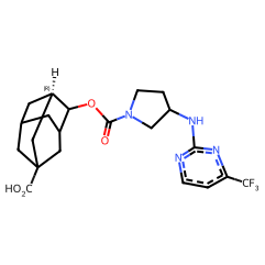 O=C(OC1C2CC3C[C@@H]1CC(C(=O)O)(C3)C2)N1CCC(Nc2nccc(C(F)(F)F)n2)C1